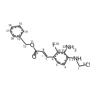 CCNc1ccc(/C=C/C(=O)OCc2ccccc2)c(F)c1N